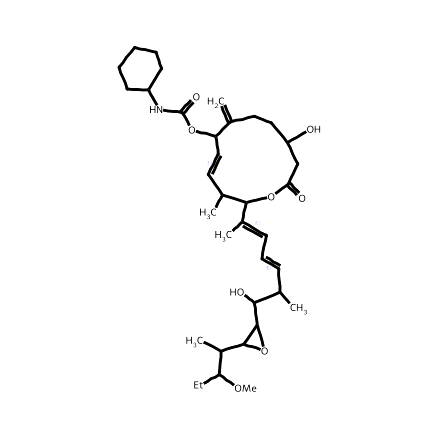 C=C1CCC(O)CC(=O)OC(/C(C)=C/C=C/C(C)C(O)C2OC2C(C)C(CC)OC)C(C)/C=C/C1OC(=O)NC1CCCCC1